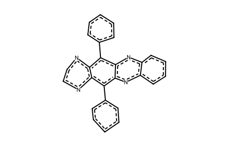 c1ccc(-c2c3nccnc3c(-c3ccccc3)c3nc4ccccc4nc23)cc1